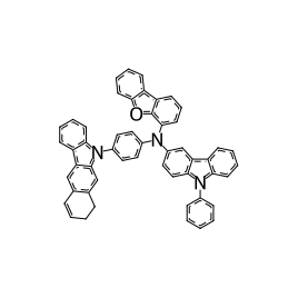 C1=Cc2cc3c4ccccc4n(-c4ccc(N(c5ccc6c(c5)c5ccccc5n6-c5ccccc5)c5cccc6c5oc5ccccc56)cc4)c3cc2CC1